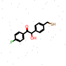 O=C(c1ccc(F)cc1)C(O)c1ccc(CS)cc1